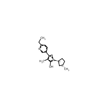 CCc1ccc(-c2nn([C@H]3CC[C@H](C)C3)c(O)c2C)cn1